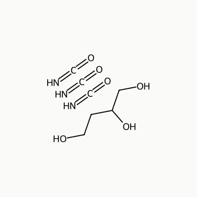 N=C=O.N=C=O.N=C=O.OCCC(O)CO